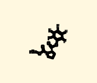 CCCCOC(=O)N1CCC[C@H]1C(=O)Oc1c(F)c(F)c(F)c(F)c1F